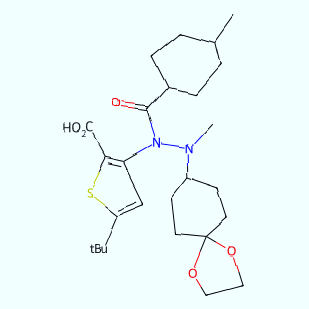 CC1CCC(C(=O)N(c2cc(C(C)(C)C)sc2C(=O)O)N(C)C2CCC3(CC2)OCCO3)CC1